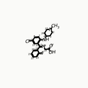 CN1CCC(Nc2ccc(Cl)cc2C(=NCC(=O)O)c2ccccc2F)CC1